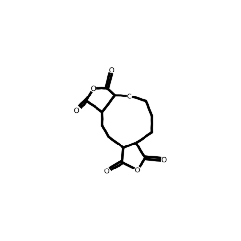 O=C1OC(=O)C2CCC3C(=O)OC(=O)C3CCCCC12